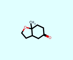 CC12CCC(=O)CC1CCO2